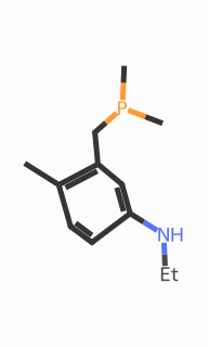 CCNc1ccc(C)c(CP(C)C)c1